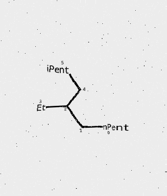 CCCCCCC(CC)CC(C)CCC